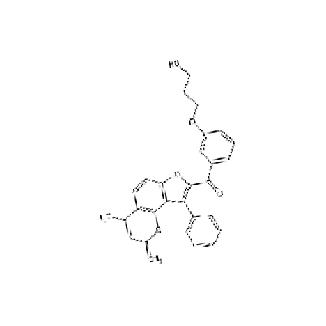 C=C1C=C(C)c2ccc3oc(C(=O)c4cccc(OCCCO)c4)c(-c4ccccc4)c3c2O1